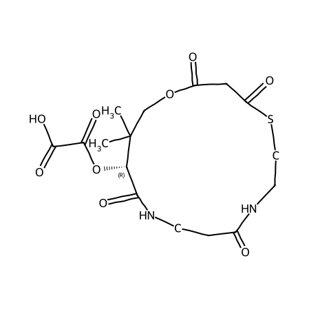 CC1(C)COC(=O)CC(=O)SCCNC(=O)CCNC(=O)[C@@H]1OC(=O)C(=O)O